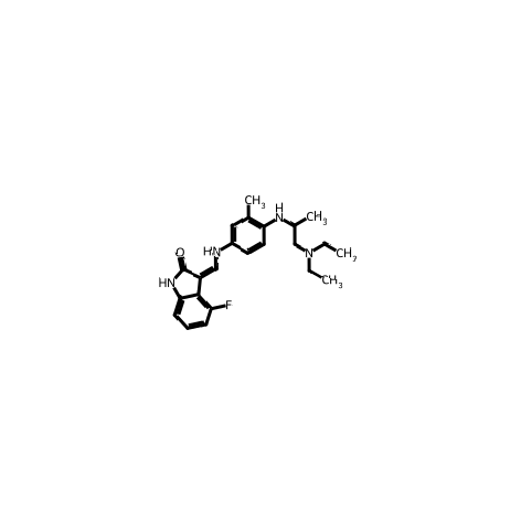 CCN(CC)CC(C)Nc1ccc(NC=C2C(=O)Nc3cccc(F)c32)cc1C